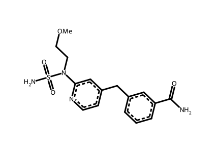 COCCN(c1cc(Cc2cccc(C(N)=O)c2)ccn1)S(N)(=O)=O